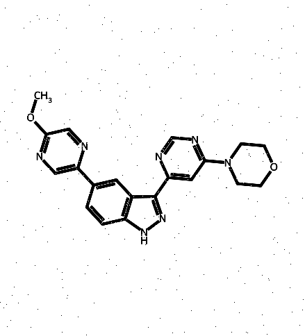 COc1cnc(-c2ccc3[nH]nc(-c4cc(N5CCOCC5)ncn4)c3c2)cn1